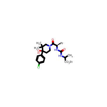 CCOC(=O)C(C)NC(=O)N[C@@H](C(=O)N1CCC(O)(c2ccc(Cl)cc2)C(C)(C)C1)C(C)C